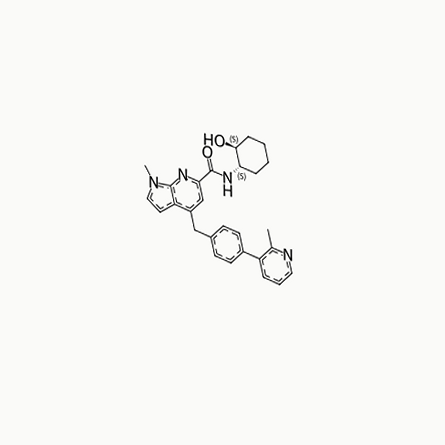 Cc1ncccc1-c1ccc(Cc2cc(C(=O)N[C@H]3CCCC[C@@H]3O)nc3c2ccn3C)cc1